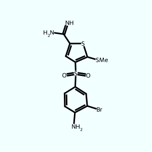 CSc1sc(C(=N)N)cc1S(=O)(=O)c1ccc(N)c(Br)c1